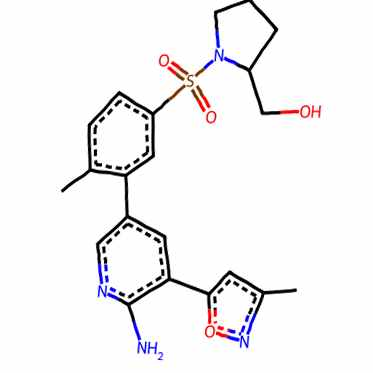 Cc1cc(-c2cc(-c3cc(S(=O)(=O)N4CCCC4CO)ccc3C)cnc2N)on1